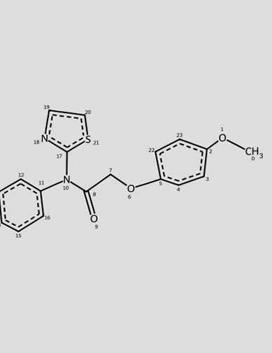 COc1ccc(OCC(=O)N(c2ccccc2)c2nccs2)cc1